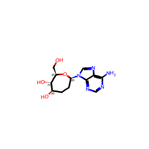 Nc1ncnc2c1ncn2[C@H]1CC[C@@H](O)[C@H](O)[C@@H](CO)O1